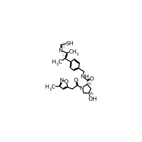 CC(/N=C\S)=C(/C)c1ccc(CNC(=O)[C@@H]2C[C@@H](O)CN2C(=O)Cc2cc(C)no2)cc1